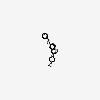 COC1CCN(c2cnc3ccc(OCc4ccccc4)cc3c2)CC1